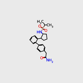 CC(C)S(=O)(=O)NC1CCCC1c1ccccc1-c1ccc(CC(N)=O)cc1